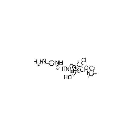 Cc1cc(C)c2cccc(OCc3c(Cl)ccc(S(=O)(=O)N4CCC[C@H]4C(=O)NCCCC(=O)Nc4ccc(C=NN)cc4)c3Cl)c2n1.Cl